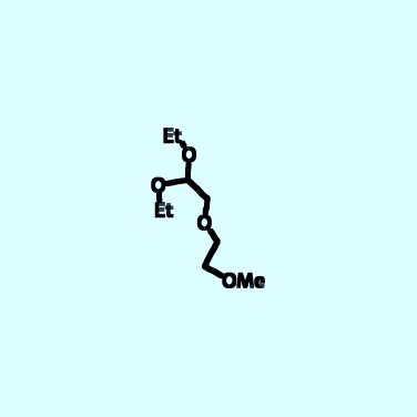 CCOC(COCCOC)OCC